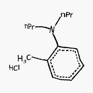 CCCN(CCC)c1ccccc1C.Cl